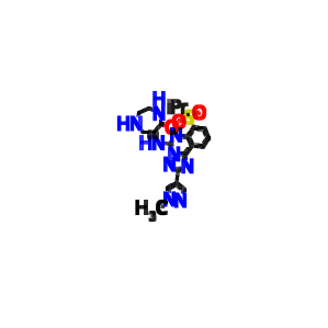 CC(C)S(=O)(=O)c1cccc2c1nc(N[C@@H]1CNCCNC1=O)n1nc(-c3cnn(C)c3)nc21